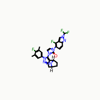 Cc1cc(-n2nc3c(c2-n2ccn(-c4ccc5nn(C(F)F)cc5c4F)c2=O)[C@@H]2CC[C@H](C3)N2)cc(C)c1F